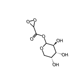 O=C(OC1OC[C@@H](O)[C@@H](O)[C@@H]1O)C1OO1